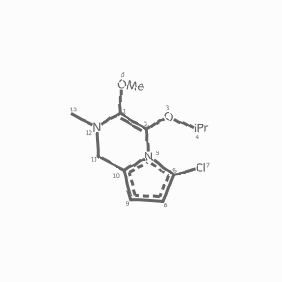 COC1=C(OC(C)C)n2c(Cl)ccc2CN1C